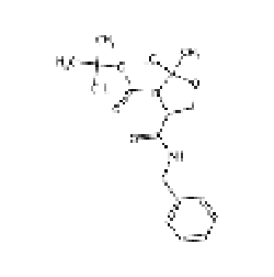 CC(C)(C)OC(=O)N1C(C(=O)NCc2ccccc2)COC1(C)C